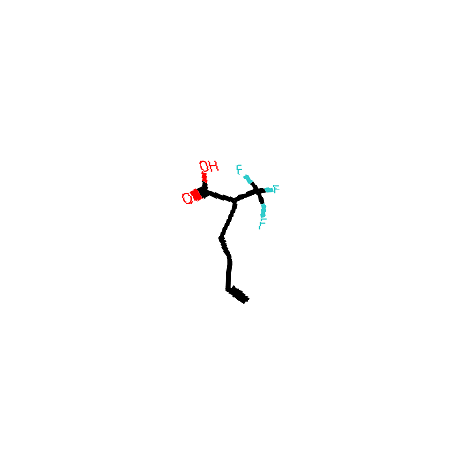 C=CCCC(C(=O)O)C(F)(F)F